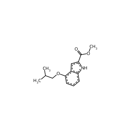 COC(=O)c1cc2c(OCC(C)C)cccc2[nH]1